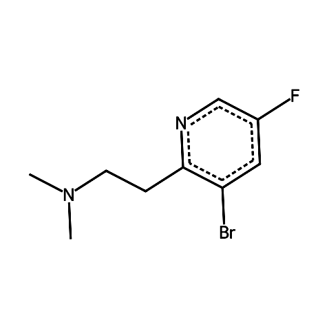 CN(C)CCc1ncc(F)cc1Br